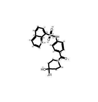 CCC1(O)CCN(C(=O)c2ccc(NS(=O)(=O)c3cccc4cccnc34)cc2)CC1